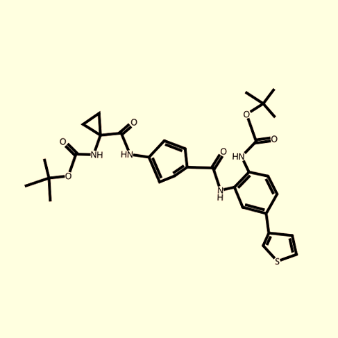 CC(C)(C)OC(=O)Nc1ccc(-c2ccsc2)cc1NC(=O)c1ccc(NC(=O)C2(NC(=O)OC(C)(C)C)CC2)cc1